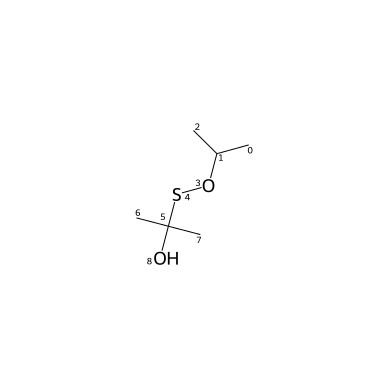 CC(C)OSC(C)(C)O